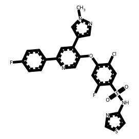 Cn1cc(-c2cc(-c3ccc(F)cc3)ncc2Oc2cc(F)c(S(=O)(=O)Nc3cscn3)cc2Cl)cn1